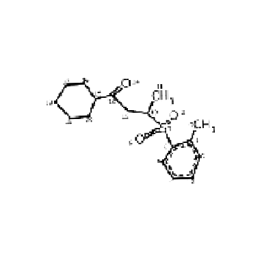 Cc1ccccc1S(=O)(=O)C(C)CC(=O)C1CCCCC1